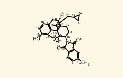 Cc1ccc2c(c1)C(=O)N([C@@H]1CC[C@@]3(O)[C@H]4Cc5ccc(O)c6c5[C@@]3(CCN4CC3CC3)[C@H]1O6)C2=O